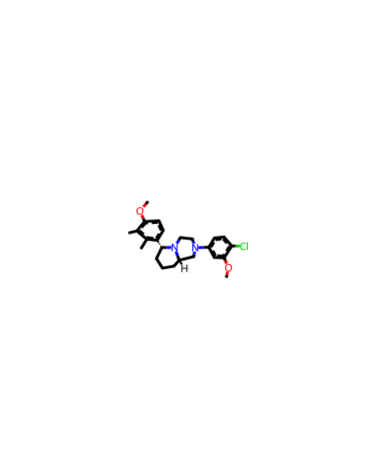 COc1cc(N2CCN3[C@@H](CCC[C@@H]3c3ccc(OC)c(C)c3C)C2)ccc1Cl